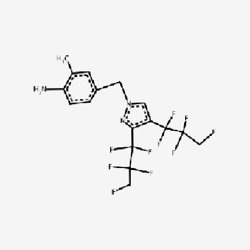 Cc1cc(Cn2cc(C(F)(F)C(F)(F)CF)c(C(F)(F)C(F)(F)CF)n2)ccc1N